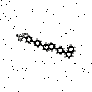 C[Si](C)(C)c1ccc(-c2ccc(-c3ccc4cc(-c5ccc(-c6cccc7cccnc67)cc5)ccc4c3)cc2)cc1